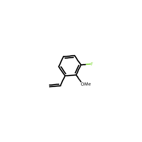 C=[C]c1cccc(F)c1OC